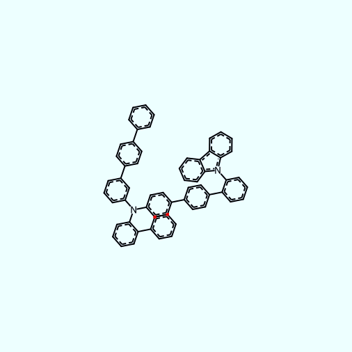 c1ccc(-c2ccc(-c3cccc(N(c4ccc(-c5ccc(-c6ccccc6-n6c7ccccc7c7ccccc76)cc5)cc4)c4ccccc4-c4ccccc4)c3)cc2)cc1